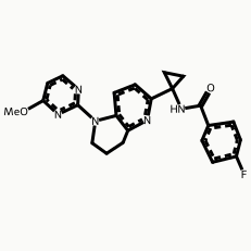 COc1ccnc(N2CCCc3nc(C4(NC(=O)c5ccc(F)cc5)CC4)ccc32)n1